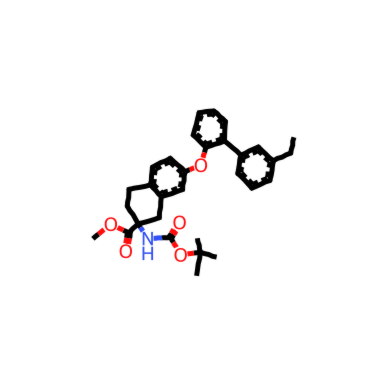 CCc1cccc(-c2ccccc2Oc2ccc3c(c2)CC(NC(=O)OC(C)(C)C)(C(=O)OC)CC3)c1